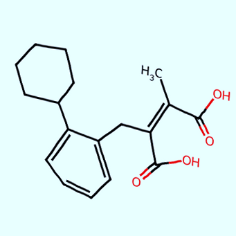 C/C(C(=O)O)=C(\Cc1ccccc1C1CCCCC1)C(=O)O